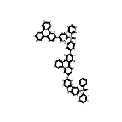 O=P(c1ccccc1)(c1ccccc1)c1ccc2oc3ccc(-c4ccc5c6ccc(-c7ccc(P(=O)(c8ccccc8)c8ccc(-c9ccc%10c%11ccccc%11c%11ccccc%11c%10c9)cn8)cc7)cc6c6ccccc6c5c4)cc3c2c1